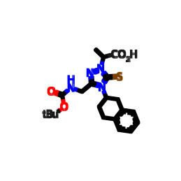 CC(C(=O)O)n1nc(CNC(=O)OC(C)(C)C)n(C2CCc3ccccc3C2)c1=S